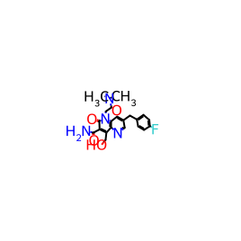 CN(C)C(=O)Cn1c(=O)c(C(N)=O)c(CO)c2ncc(Cc3ccc(F)cc3)cc21